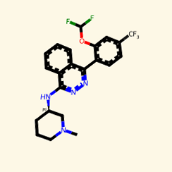 CN1CCC[C@@H](Nc2nnc(-c3ccc(C(F)(F)F)cc3OC(F)F)c3ccccc23)C1